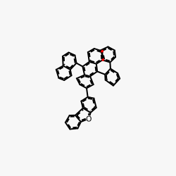 c1ccc(-c2ccccc2-c2c3ccccc3c(-c3cccc4ccccc34)c3ccc(-c4ccc5oc6ccccc6c5c4)cc23)cc1